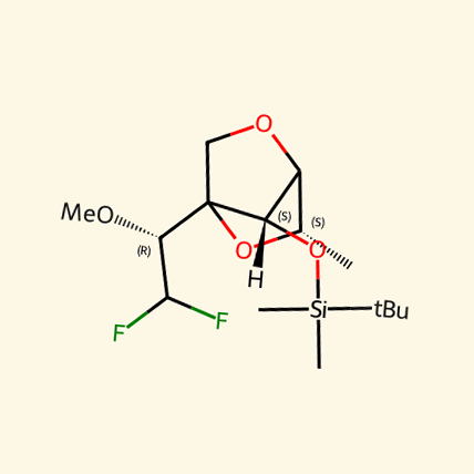 CO[C@@H](C(F)F)C12COC([C@H](C)O1)[C@@H]2O[Si](C)(C)C(C)(C)C